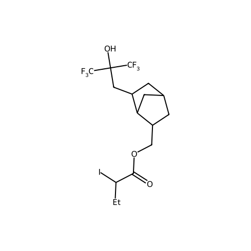 CCC(I)C(=O)OCC1CC2CC(CC(O)(C(F)(F)F)C(F)(F)F)C1C2